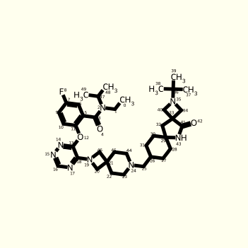 CCN(C(=O)c1cc(F)ccc1Oc1nncnc1N1CC2(CCN(CC3CCC4(CC3)CC3(CN(C(C)(C)C)C3)C(=O)N4)CC2)C1)C(C)C